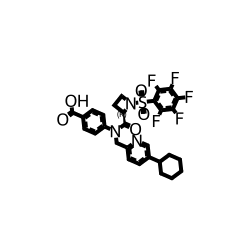 O=C(O)c1ccc(N(Cc2ccc(C3CCCCC3)cn2)C(=O)[C@H]2CCN2S(=O)(=O)c2c(F)c(F)c(F)c(F)c2F)cc1